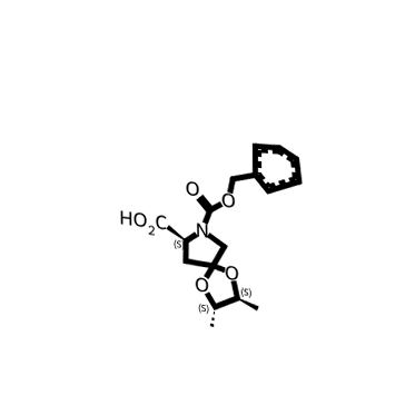 C[C@@H]1OC2(C[C@@H](C(=O)O)N(C(=O)OCc3ccccc3)C2)O[C@H]1C